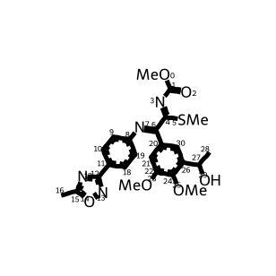 COC(=O)N=C(SC)C(=Nc1ccc(-c2noc(C)n2)cc1)c1cc(OC)c(OC)c(C(C)O)c1